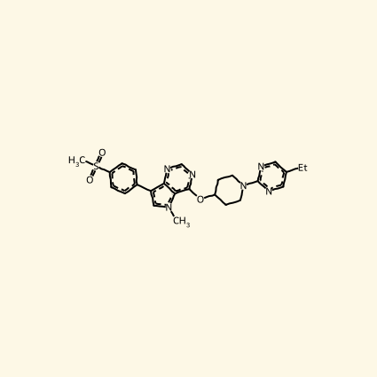 CCc1cnc(N2CCC(Oc3ncnc4c(-c5ccc(S(C)(=O)=O)cc5)cn(C)c34)CC2)nc1